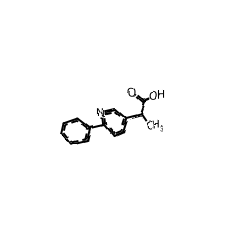 CC(C(=O)O)c1ccc(-c2ccccc2)nc1